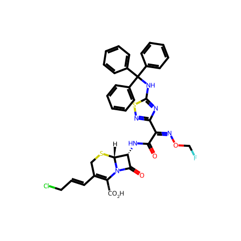 O=C(O)C1=C(/C=C/CCl)CS[C@@H]2[C@H](NC(=O)/C(=N\OCF)c3nsc(NC(c4ccccc4)(c4ccccc4)c4ccccc4)n3)C(=O)N12